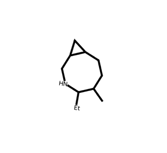 CCC1NCC2CC2CCC1C